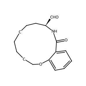 O=C[C@@H]1CCCCCCCOc2ccccc2C(=O)N1